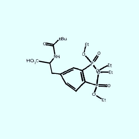 CCOP(=O)(OCC)c1ccc(CC(NC(=O)C(C)(C)C)C(=O)O)cc1P(=O)(OCC)OCC